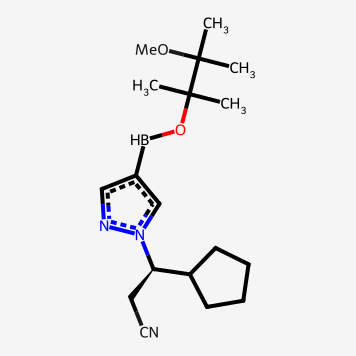 COC(C)(C)C(C)(C)OBc1cnn([C@H](CC#N)C2CCCC2)c1